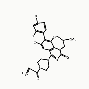 C=CC(=O)N1CCN(c2nc(=O)n3c4c(c(-c5ccc(F)cc5F)c(Cl)cc24)SCC(OC)C3)CC1